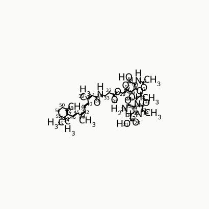 CC(=O)N[C@@H]1[C@@H](OC(C)CN(C(=O)[C@H](C)N)[C@@H](CCC(=O)O)C(N)=O)[C@H](O)[C@@H](COC(=O)CCNC(=O)C=C(C)C=CC=C(C)C=CC2=C(C)CCCC2(C)C)O[C@@H]1O